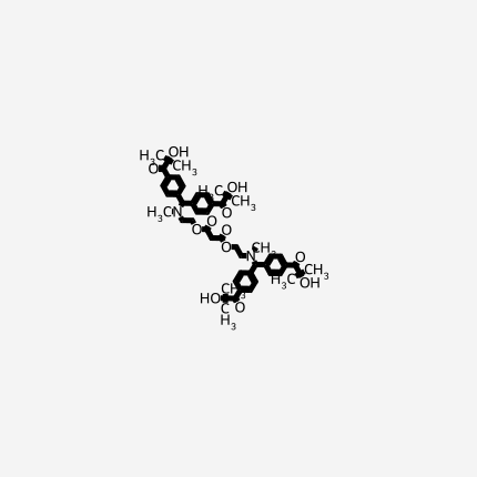 CN(CCOC(=O)CC(=O)OCCN(C)C(c1ccc(C(=O)C(C)(C)O)cc1)c1ccc(C(=O)C(C)(C)O)cc1)C(c1ccc(C(=O)C(C)(C)O)cc1)c1ccc(C(=O)C(C)(C)O)cc1